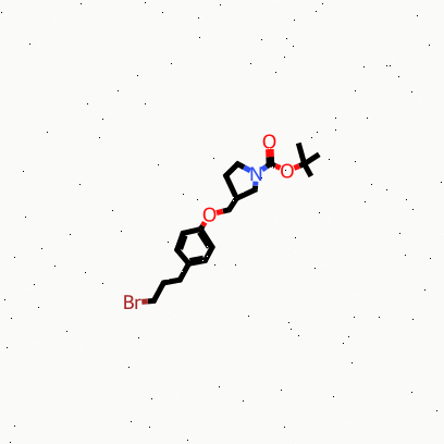 CC(C)(C)OC(=O)N1CCC(COc2ccc(CCCBr)cc2)C1